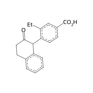 CCc1cc(C(=O)O)ccc1C1C(=O)CCc2ccccc21